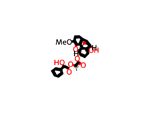 COc1ccc2c3c1O[C@@H]1C(OC(=O)[C@H](C)OC(=O)[C@@H](O)c4ccccc4)=CC[C@]4(O)[C@@H](CCC[C@@]314)C2